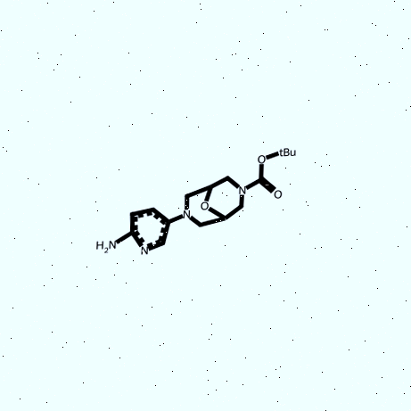 CC(C)(C)OC(=O)N1CC2CN(c3ccc(N)nc3)CC(C1)O2